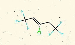 FC(F)(F)/C=C(\Cl)CC(F)(F)F